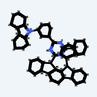 c1ccc(-c2nc(-c3cccc(-n4c5ccccc5c5ccccc54)c3)nc(C3c4ccccc4-c4ccc5c(c43)C(c3ccccc3)c3ccccc3-5)n2)cc1